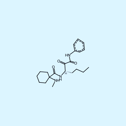 CCCC[C@H](NC(=O)C1(NC)CCCCC1)C(=O)C(=O)Nc1ccccc1